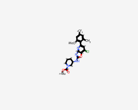 COc1cc(C(F)(F)F)cc(C)c1-c1cc(Cl)c2oc(N[C@@H]3CCCN(C(=O)OC(C)(C)C)C3)nc2n1